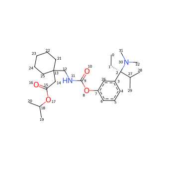 CC[C@@](c1cccc(OC(=O)NCC2(CC(=O)OC(C)C)CCCCC2)c1)(C(C)C)N(C)C